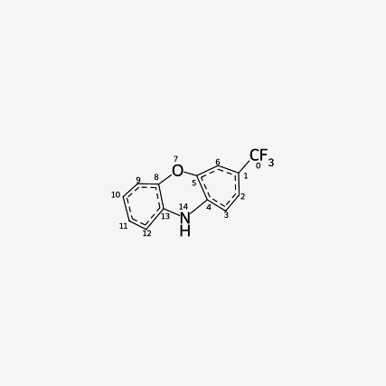 FC(F)(F)c1ccc2c(c1)Oc1ccccc1N2